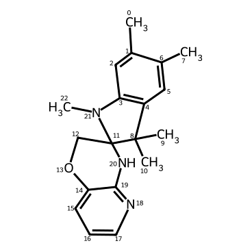 Cc1cc2c(cc1C)C(C)(C)C1(COc3cccnc3N1)N2C